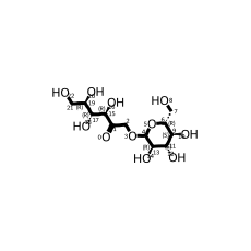 O=C(COC1O[C@H](CO)[C@@H](O)[C@H](O)[C@H]1O)[C@H](O)[C@H](O)[C@H](O)CO